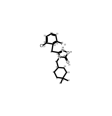 CC1(C)CCC(Cn2c(Cc3c(F)cccc3Cl)noc2=O)CC1